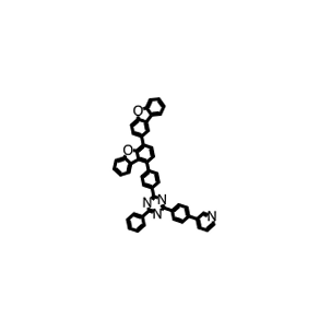 c1ccc(-c2nc(-c3ccc(-c4cccnc4)cc3)nc(-c3ccc(-c4ccc(-c5ccc6oc7ccccc7c6c5)c5oc6ccccc6c45)cc3)n2)cc1